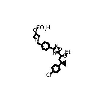 CCOC(CC1(c2ccc(Cl)cc2)CC1)c1nc(-c2ccc(CN3CC(OC(=O)O)C3)cc2)no1